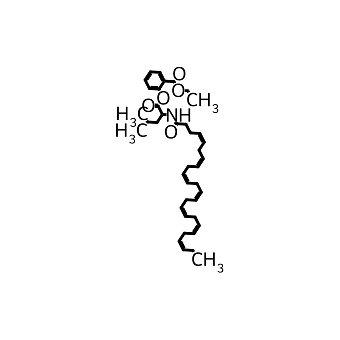 CC/C=C\C/C=C\C/C=C\C/C=C\C/C=C\C/C=C\C/C=C\CCC(=O)NC(CC(C)C)C(=O)Oc1ccccc1C(=O)OCC